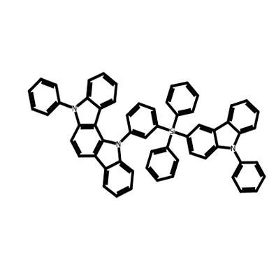 c1ccc(-n2c3ccccc3c3cc([Si](c4ccccc4)(c4ccccc4)c4cccc(-n5c6ccccc6c6ccc7c(c8ccccc8n7-c7ccccc7)c65)c4)ccc32)cc1